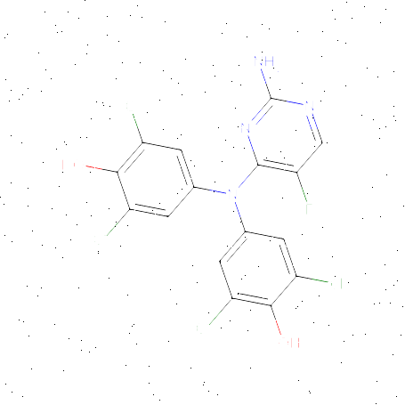 Nc1ncc(F)c(N(c2cc(Cl)c(O)c(Cl)c2)c2cc(Cl)c(O)c(Cl)c2)n1